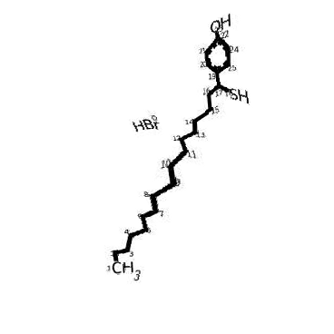 Br.CCCCCCCCCCCCCCCCC(S)c1ccc(O)cc1